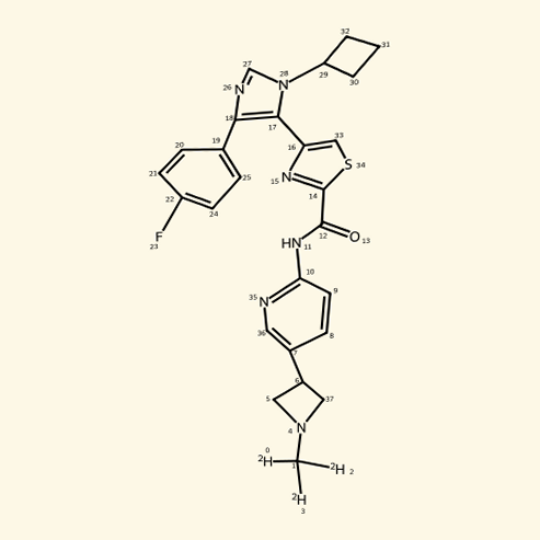 [2H]C([2H])([2H])N1CC(c2ccc(NC(=O)c3nc(-c4c(-c5ccc(F)cc5)ncn4C4CCC4)cs3)nc2)C1